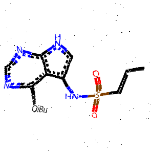 CC=CS(=O)(=O)Nc1c[nH]c2ncnc(OCC(C)C)c12